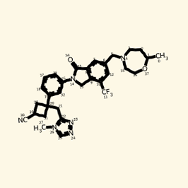 CC1CCN(Cc2cc3c(c(C(F)(F)F)c2)CN(c2cccc(C4(Cc5nncn5C)CC(C#N)C4)c2)C3=O)CCO1